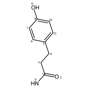 [NH]C(=O)CCc1ccc(O)cc1